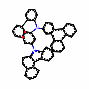 c1ccc(-c2ccccc2N(c2cccc(-n3c4ccccc4c4c5ccccc5ccc43)c2)c2ccc3c4ccccc4c4ccccc4c3c2)cc1